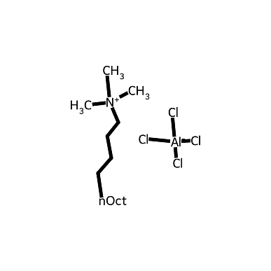 CCCCCCCCCCCC[N+](C)(C)C.[Cl][Al-]([Cl])([Cl])[Cl]